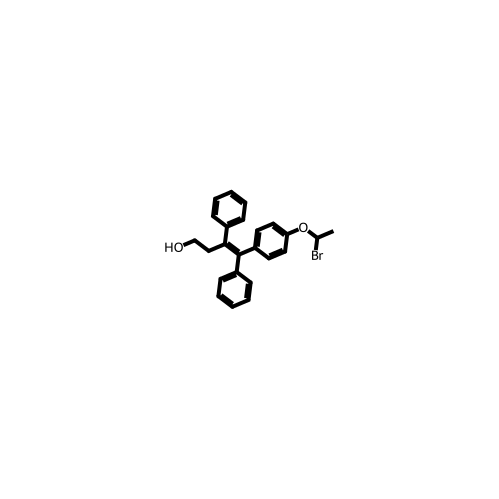 CC(Br)Oc1ccc(/C(=C(/CCO)c2ccccc2)c2ccccc2)cc1